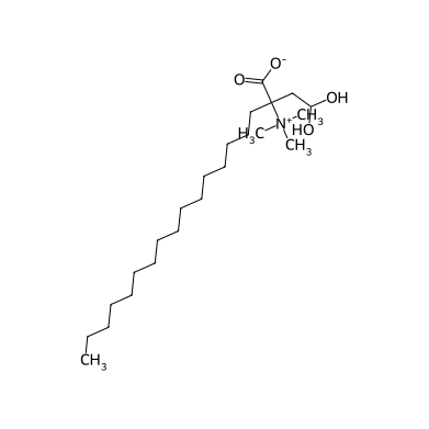 CCCCCCCCCCCCCCCCC(CC(O)O)(C(=O)[O-])[N+](C)(C)C